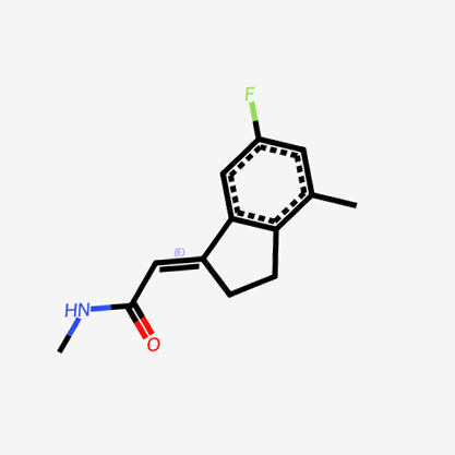 CNC(=O)/C=C1\CCc2c(C)cc(F)cc21